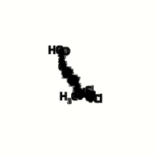 Cn1cc(-c2ccc(Cl)cc2Cl)nc1C=Cc1ccc(-c2ccc(OCCCCC(=O)O)cc2)cc1